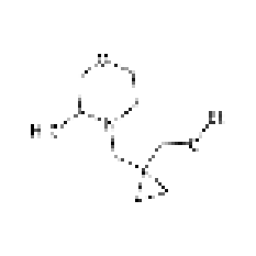 CCOCC1(CN2CCOCC2C)CC1